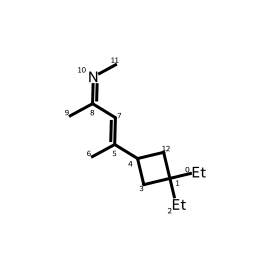 CCC1(CC)CC(/C(C)=C/C(C)=N\C)C1